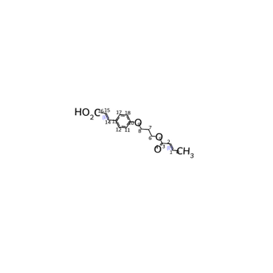 C/C=C/C(=O)OCCCOc1ccc(/C=C/C(=O)O)cc1